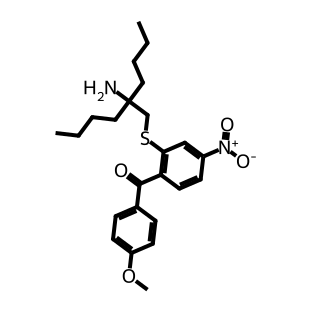 CCCCC(N)(CCCC)CSc1cc([N+](=O)[O-])ccc1C(=O)c1ccc(OC)cc1